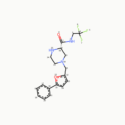 O=C(NCC(F)(F)F)[C@@H]1CN(Cc2ccc(-c3ccccc3)o2)CCN1